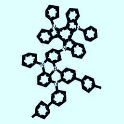 Cc1ccc(-c2cccc(N3c4cc(-c5ccc(C)cc5)ccc4B4c5cc(-n6c7ccccc7c7c8c(c9ccccc9n8-c8ccccc8)c8c(c9ccccc9n8-c8ccccc8)c76)ccc5N(c5ccccc5)c5cccc3c54)c2)cc1